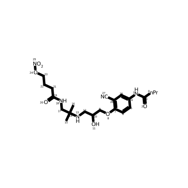 CCCC(=O)Nc1ccc(OCC(O)CNC(C)(C)CNC(=O)CCCO[N+](=O)[O-])c(C#N)c1